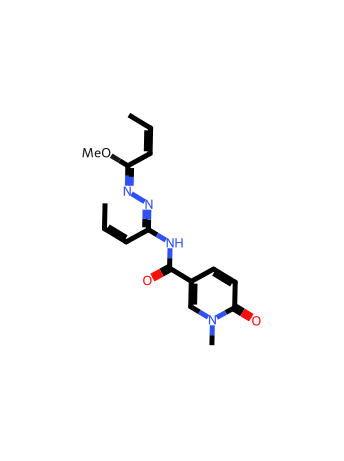 C\C=C/C(=N\N=C(/C=C\C)OC)NC(=O)c1ccc(=O)n(C)c1